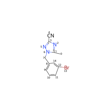 Cc1nc(C#N)nn1Cc1cccc(Br)c1